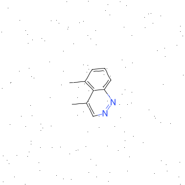 Cc1cccc2nncc(C)c12